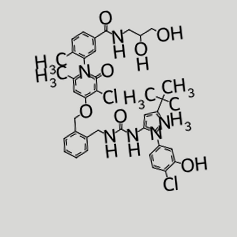 Cc1ccc(C(=O)NCC(O)CO)cc1-n1c(C)cc(OCc2ccccc2CNC(=O)Nc2cc(C(C)(C)C)nn2-c2ccc(Cl)c(O)c2)c(Cl)c1=O